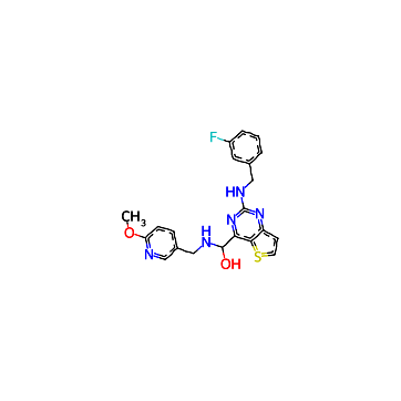 COc1ccc(CNC(O)c2nc(NCc3cccc(F)c3)nc3ccsc23)cn1